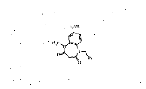 COc1ccc2c(c1)N(C)C(=O)CC(=O)N2CC(C)C